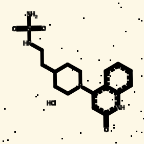 Cl.NS(=O)(=O)NCCC1CCN(c2cc(=O)[nH]c3ccccc23)CC1